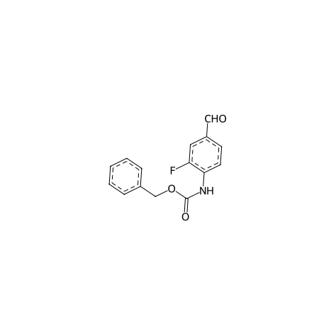 O=Cc1ccc(NC(=O)OCc2ccccc2)c(F)c1